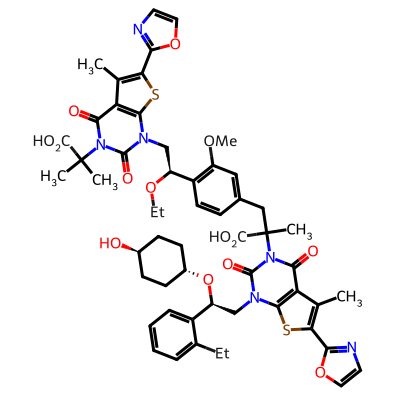 CCO[C@@H](Cn1c(=O)n(C(C)(C)C(=O)O)c(=O)c2c(C)c(-c3ncco3)sc21)c1ccc(CC(C)(C(=O)O)n2c(=O)c3c(C)c(-c4ncco4)sc3n(C[C@H](O[C@H]3CC[C@H](O)CC3)c3ccccc3CC)c2=O)cc1OC